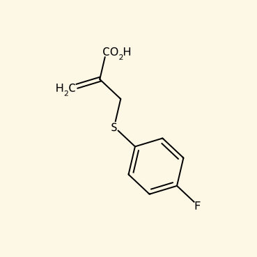 C=C(CSc1ccc(F)cc1)C(=O)O